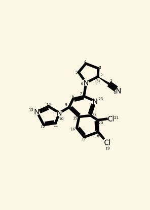 N#C[C@@H]1CCCN1c1cc(-n2ccnc2)c2ccc(Cl)c(Cl)c2n1